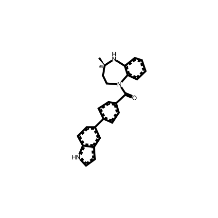 C[C@@H]1CCN(C(=O)c2ccc(-c3ccc4[nH]ccc4c3)cc2)c2ccccc2N1